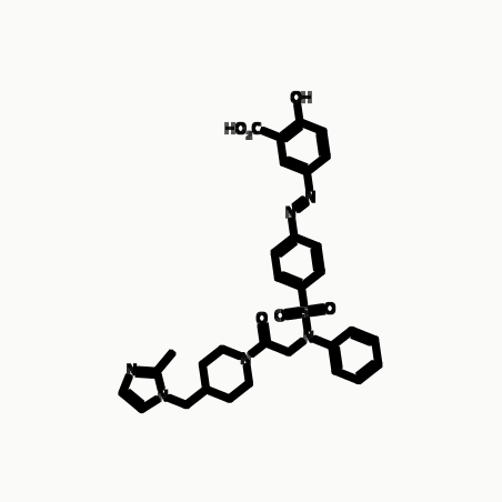 Cc1nccn1CC1CCN(C(=O)CN(c2ccccc2)S(=O)(=O)c2ccc(N=Nc3ccc(O)c(C(=O)O)c3)cc2)CC1